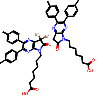 Cc1ccc(-c2nc3c(nc2-c2ccc(C)cc2)C(Br)(Br)C(=O)N3CCCCCCC(=O)O)cc1.Cc1ccc(-c2nc3c(nc2-c2ccc(C)cc2)N(CCCCCCC(=O)O)C(=O)C3)cc1